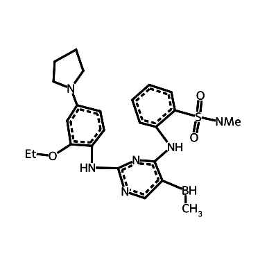 CBc1cnc(Nc2ccc(N3CCCC3)cc2OCC)nc1Nc1ccccc1S(=O)(=O)NC